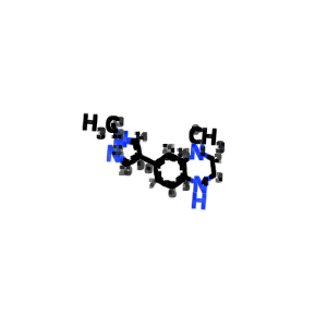 CN1CCNc2ccc(-c3cnn(C)c3)cc21